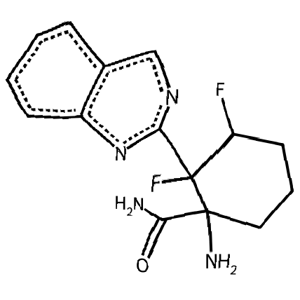 NC(=O)C1(N)CCCC(F)C1(F)c1ncc2ccccc2n1